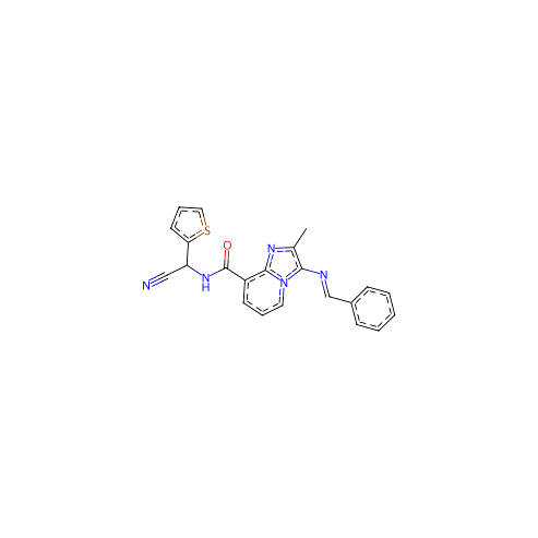 Cc1nc2c(C(=O)NC(C#N)c3cccs3)cccn2c1N=Cc1ccccc1